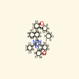 c1ccc(-c2ccc3oc4cccc(-c5ccc(-c6nc(-c7ccccc7)nc(-c7cccc8oc9ccccc9c78)n6)c6ccccc56)c4c3c2)cc1